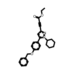 CCOC(=O)C#Cc1cc(-c2ccc(OCc3ccccc3)cc2)n(C2CCCCC2)n1